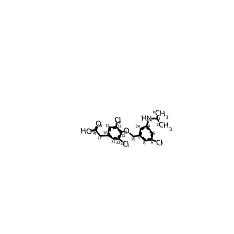 CC(C)Nc1cc(Cl)cc(COc2c(Cl)cc(CC(=O)O)cc2Cl)c1